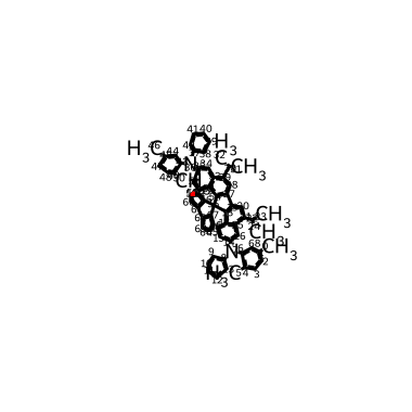 Cc1ccc(C)c(N(c2ccccc2)c2ccc3c4c(cc(C(C)C)c3c2)-c2cc(C(C)C)c3cc(N(c5ccccc5)c5cc(C)ccc5C)ccc3c2C42c3ccccc3-c3ccccc32)c1